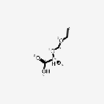 CCOCO[PH](=O)C(=O)O